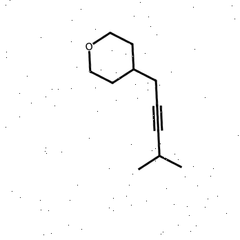 CC(C)C#CCC1CCOCC1